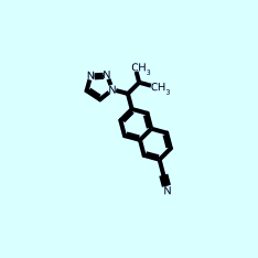 CC(C)C(c1ccc2cc(C#N)ccc2c1)n1ccnn1